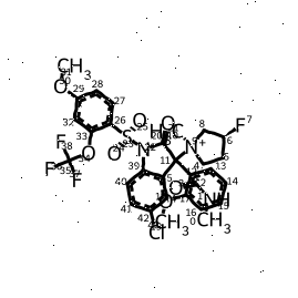 CNC(=O)[C@H]1C[C@H](F)C[N+]1(C)C1(c2ccccc2OC)C(=O)N(S(=O)(=O)c2ccc(OC)cc2OC(F)(F)F)c2ccc(Cl)cc21